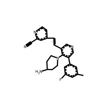 Cc1cc(F)cc(-c2cncc(/C=C/c3ccnc(C#N)c3)c2N2CCC(N)CC2)c1